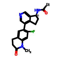 CCC(=O)N[C@H]1CCc2c(-c3cc4c(cc3F)N(C)C(=O)CC4)cncc21